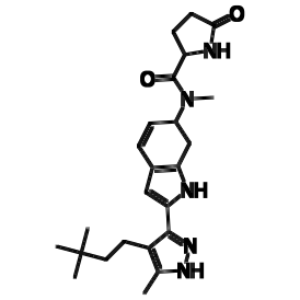 Cc1[nH]nc(-c2cc3c([nH]2)CC(N(C)C(=O)C2CCC(=O)N2)C=C3)c1CCC(C)(C)C